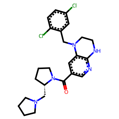 O=C(c1cnc2c(c1)N(Cc1cc(Cl)ccc1Cl)CCN2)N1CCC[C@H]1CN1CCCC1